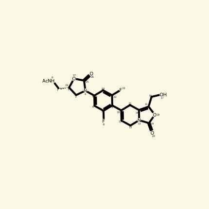 CC(=O)NC[C@H]1CN(c2cc(F)c(C3=CCn4c(c(CO)oc4=O)C3)c(F)c2)C(=O)O1